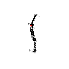 CCCCCCCCCc1ccc(C(=O)Oc2ccc3c(c2)Cc2cc(OC(=O)c4ccc(OCCCCCCOCC5(C)COC5)cc4)ccc2-3)cc1Cl